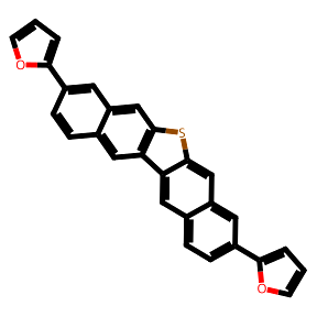 c1coc(-c2ccc3cc4c(cc3c2)sc2cc3cc(-c5ccco5)ccc3cc24)c1